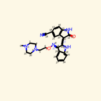 CN1CCN(CCO/N=C2/C(=C3/C(=O)Nc4ccc(C#N)cc43)Nc3ccccc32)CC1